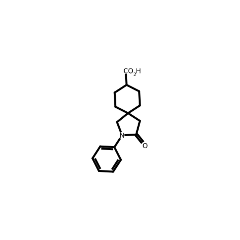 O=C(O)C1CCC2(CC1)CC(=O)N(c1ccccc1)C2